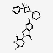 CC1(c2ccccc2)CN([C@@H]2CCCC[C@@H]2Oc2ccc3c(c2)CN(C2CCC(=O)NC2=O)C3=O)C1